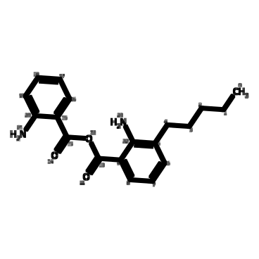 CCCCCc1cccc(C(=O)OC(=O)c2ccccc2N)c1N